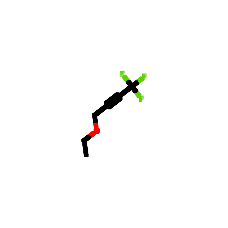 C[CH]OCC#CC(F)(F)F